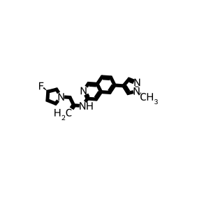 C=C(CN1CC[C@H](F)C1)Nc1cc2cc(-c3cnn(C)c3)ccc2cn1